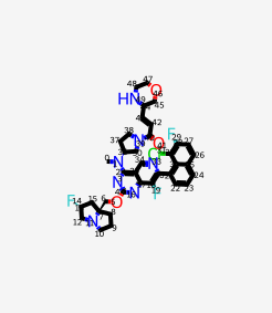 CN(c1nc(OC[C@@]23CCCN2C[C@H](F)C3)nc2c(F)c(-c3cccc4ccc(F)c(Cl)c34)ncc12)[C@@H]1CCN(C(=O)/C=C/C2COCCN2)C1